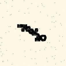 O=C(NO)c1ccc2cc(C(=O)NCc3n[nH]c4c3CCCCC4)ccc2c1